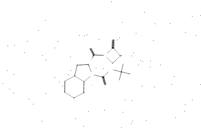 CC(C)(C)OC(=O)N1[C@H](C(=O)N2CCC2=O)C[C@@H]2CCCC[C@@H]21